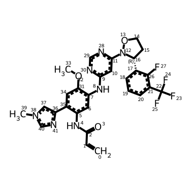 C=CC(=O)Nc1cc(Nc2cc(N3OCC[C@@H]3c3cccc(C(F)(F)F)c3F)ncn2)c(OC)cc1-c1cn(C)cn1